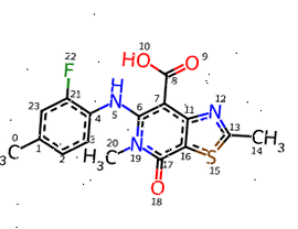 Cc1ccc(Nc2c(C(=O)O)c3nc(C)sc3c(=O)n2C)c(F)c1